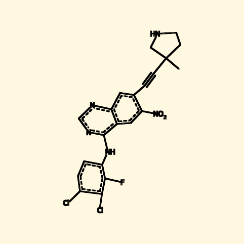 CC1(C#Cc2cc3ncnc(Nc4ccc(Cl)c(Cl)c4F)c3cc2[N+](=O)[O-])CCNC1